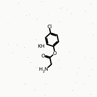 NCC(=O)Oc1ccc(Cl)cc1.[KH]